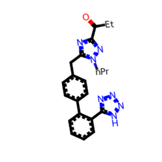 CCCn1nc(C(=O)CC)nc1Cc1ccc(-c2ccccc2-c2nnn[nH]2)cc1